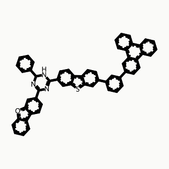 c1ccc(C2N=C(c3ccc4c(c3)oc3ccccc34)N=C(c3ccc4c(c3)sc3cc(-c5cccc(-c6ccc7c8ccccc8c8ccccc8c7c6)c5)ccc34)N2)cc1